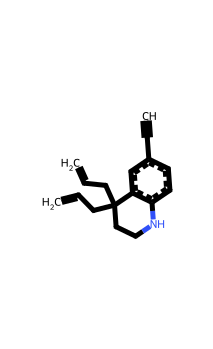 C#Cc1ccc2c(c1)C(CC=C)(CC=C)CCN2